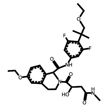 CCOCC(C)(C)c1c(F)cc(NC(=O)C2c3ccc(OCC)cc3CCN2C(=O)C(O)CC(=O)NC)cc1F